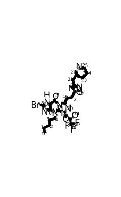 CCCCCN1c2nc(Br)[nH]c2C(=O)N2C(CCc3nc(Cc4cccnc4)no3)=NN(OC(=O)C(F)(F)F)C21